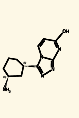 N[C@@H]1CCC[C@H](c2nnc3nc(O)ccn23)C1